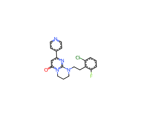 O=c1cc(-c2ccncc2)nc2n1CCCN2CCc1c(F)cccc1Cl